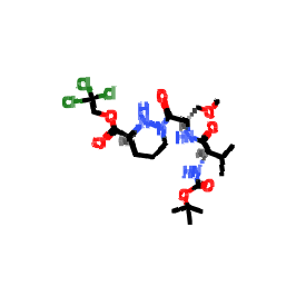 COC[C@H](NC(=O)[C@@H](NC(=O)OC(C)(C)C)C(C)C)C(=O)N1CCC[C@@H](C(=O)OCC(Cl)(Cl)Cl)N1